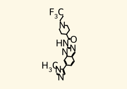 Cn1cncc1-c1ccc2cnc(NC(=O)C3CCN(CCC(F)(F)F)CC3)nc2c1